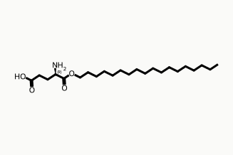 CCCCCCCCCCCCCCCCCCOC(=O)[C@H](N)CCC(=O)O